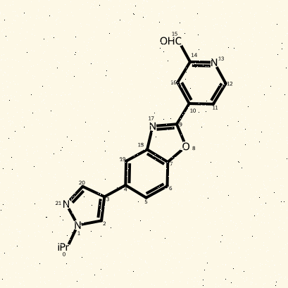 CC(C)n1cc(-c2ccc3oc(-c4ccnc(C=O)c4)nc3c2)cn1